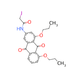 CCCOc1cccc2c1C(=O)c1c(OCCC)cc(NC(=O)CI)cc1C2=O